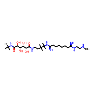 CCC(C)(C)NC(=O)[C@@H](O)[C@H](O)[C@H](O)[C@@H](O)C(=O)NCCC(C)(C)C(C)(C)NC(=N)CCCCCCC(=N)NCCNC(C)(C)C